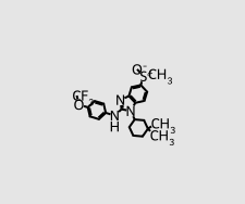 C[S+]([O-])c1ccc2c(c1)nc(Nc1ccc(OC(F)(F)F)cc1)n2C1CCCC(C)(C)C1